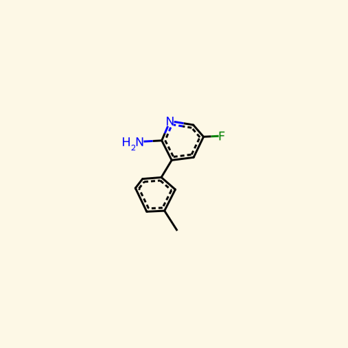 Cc1cccc(-c2cc(F)cnc2N)c1